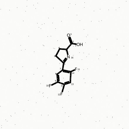 O=C(O)C1CCC(c2cc(F)c(F)cc2F)=N1